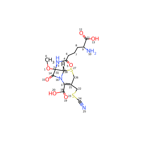 CO[C@@]1(NC(=O)CCCC(N)C(=O)O)C(=O)N2C(C(=O)O)=C(CSC#N)CS[C@H]21